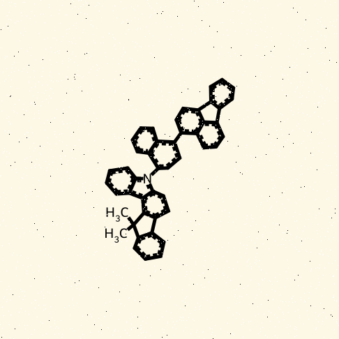 CC1(C)c2ccccc2-c2ccc3c(c21)c1ccccc1n3-c1ccc(-c2ccc3c4c(cccc24)-c2ccccc2-3)c2ccccc12